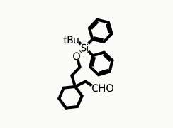 CC(C)(C)[Si](OCCC1(CC=O)CCCCC1)(c1ccccc1)c1ccccc1